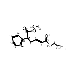 CCOC(=O)/C=C/CC(C(=O)OC)c1ccccc1